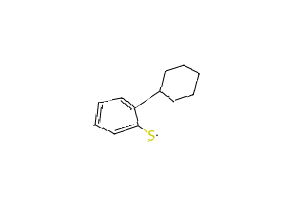 [S]c1ccccc1C1CCCCC1